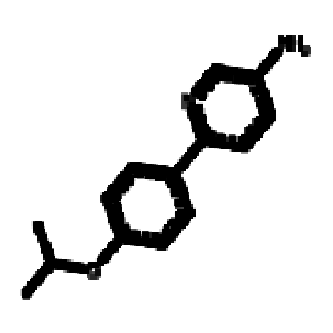 CC(C)Oc1ccc(-c2ccc(N)cn2)cc1